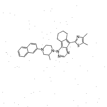 Cc1nc(-c2c3ncnn(N4CCN(c5ccc6ccccc6c5)CC4C)c-3c3c2CCCC3)sc1C